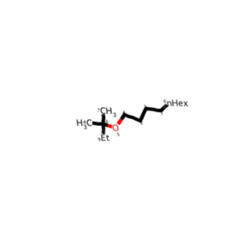 CCCCCCCCCCOC(C)(C)CC